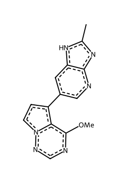 COc1ncnn2ccc(-c3cnc4nc(C)[nH]c4c3)c12